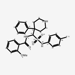 COc1ccccc1C(=O)NC(C1(c2ccccc2)CCNCC1)S(=O)(=O)Nc1ccc(F)cc1